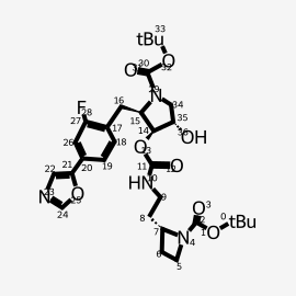 CC(C)(C)OC(=O)N1CC[C@@H]1CCNC(=O)O[C@H]1[C@@H](Cc2ccc(-c3cnco3)cc2F)N(C(=O)OC(C)(C)C)C[C@@H]1O